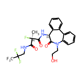 C[C@@](F)(C(=O)NCC(F)(F)C(F)(F)F)C(=O)N[C@@H]1C(=O)N(CCO)c2ccccc2-c2ccccc21